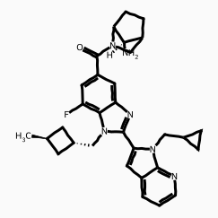 C[C@H]1C[C@H](Cn2c(-c3cc4cccnc4n3CC3CC3)nc3cc(C(=O)N4CC5CCC4[C@@H]5N)cc(F)c32)C1